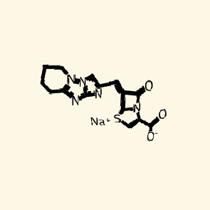 O=C([O-])C1=CSC2/C(=C\c3cn4c(n3)nc3n4CCCC3)C(=O)N12.[Na+]